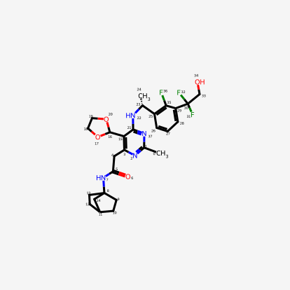 Cc1nc(CC(=O)NC23CCC(CC2)C3)c(C2OCCO2)c(N[C@H](C)c2cccc(C(F)(F)CO)c2F)n1